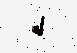 CC[C@@]1(O)C(=O)OCc2c1cc1n(c2=O)Cc2c-1nc1cc(F)c(C)c3c1c2[C@@H](NC(=O)[C@H](O)COCNC(=O)[C@H](C)NC(=O)[C@H](C)NC(=O)[C@H](CNC(=O)CCOCCOCCOCCOCCOCCOCCOCCOC)N1C(=O)C=CC1=O)CC3